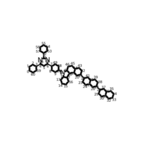 c1ccc(-c2cc(-c3ccc(-n4c5ccccc5c5c6cc(-c7ccc8cc(-c9ccc%10ccccc%10c9)ccc8c7)ccc6ccc54)cc3)nc(-c3ccccc3)n2)cc1